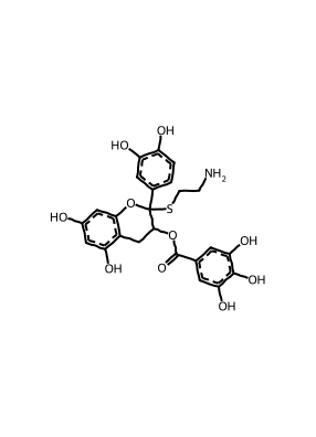 NCCSC1(c2ccc(O)c(O)c2)Oc2cc(O)cc(O)c2CC1OC(=O)c1cc(O)c(O)c(O)c1